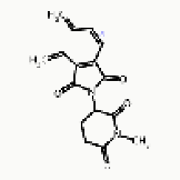 C=C/C=C\C1=C(C=C)C(=O)N(C2CCC(=O)N(C)C2=O)C1=O